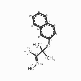 CC(C)(Oc1ccc2ccccc2c1)C(N)=NO